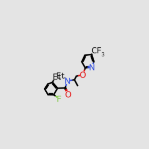 CCc1cccc(F)c1C(=O)N(CC)C(C)COc1ccc(C(F)(F)F)cn1